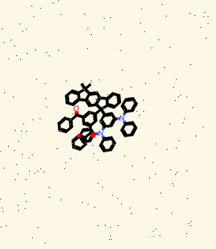 CC1(C)c2ccccc2-c2cc3c(cc21)-c1ccccc1C3(c1cc(C(=O)c2ccccc2)cc(C(=O)c2ccccc2)c1)c1cc(N(c2ccccc2)c2ccccc2)cc(N(c2ccccc2)c2ccccc2)c1